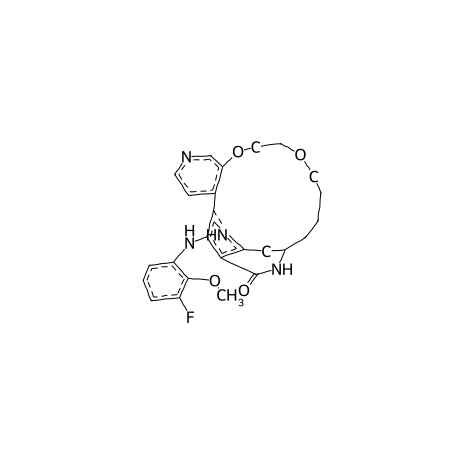 COc1c(F)cccc1Nc1c2[nH]c3c1C(=O)NC(CCCCOCCOc1cnccc1-2)C3